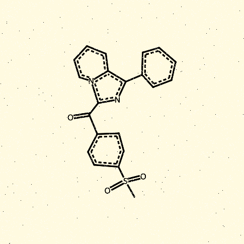 CS(=O)(=O)c1ccc(C(=O)c2nc(-c3ccccc3)c3ccccn23)cc1